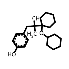 CC(C)(Cc1ccc(O)cc1)C1(OC2CCCCC2)CCCCC1